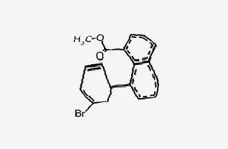 COC(=O)c1cccc2cccc(C3C=CC=C(Br)C3)c12